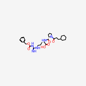 N=C(NCCC[C@H](NC(=O)[C@@H]1CCCN1C(=O)CCC1CCCCC1)C(=O)O)NC(=O)OCc1ccccc1